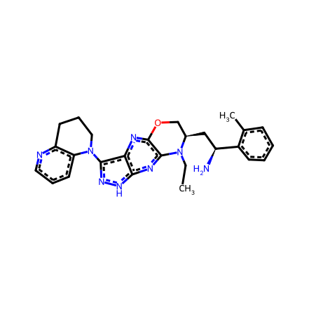 CCN1c2nc3[nH]nc(N4CCCc5ncccc54)c3nc2OC[C@H]1C[C@H](N)c1ccccc1C